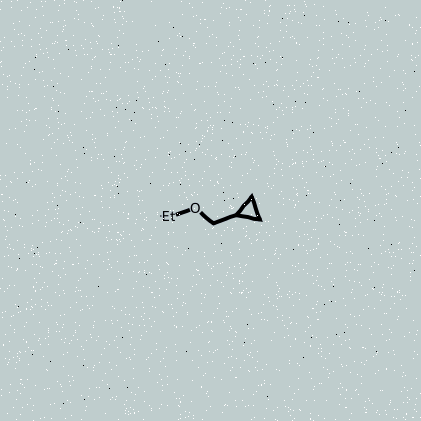 C[CH]OCC1CC1